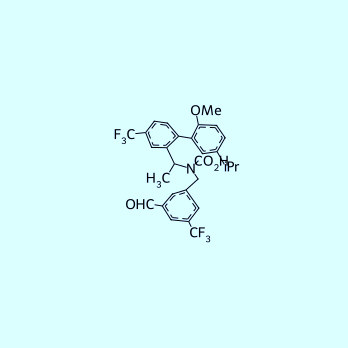 COc1ccc(C(C)C)cc1-c1ccc(C(F)(F)F)cc1C(C)N(Cc1cc(C=O)cc(C(F)(F)F)c1)C(=O)O